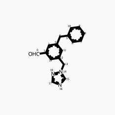 O=Cc1cc(Cc2ccccc2)cc(Cn2cncn2)c1